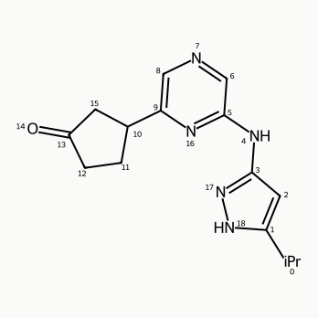 CC(C)c1cc(Nc2cncc(C3CCC(=O)C3)n2)n[nH]1